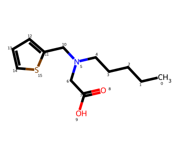 CCCCCN(CC(=O)O)Cc1cccs1